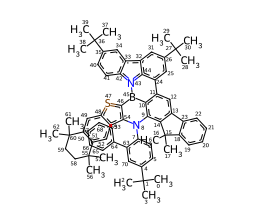 CC(C)(C)c1ccc(N2c3c4c(cc5c3C(C)(C)c3ccccc3-5)-c3cc(C(C)(C)C)cc5c6cc(C(C)(C)C)ccc6n(c35)B4c3sc4cc5c(cc4c32)C(C)(C)CCC5(C)C)c(-c2ccccc2)c1